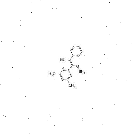 BOC(=C(C#N)c1ccccc1)c1nc(C)nc(C)n1